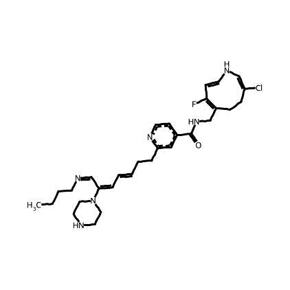 CCCC\N=C/C(=C\C=C\CCc1cc(C(=O)NC/C2=C(F)/C=C/N/C=C(/Cl)CC2)ccn1)N1CCNCC1